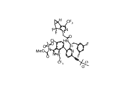 COC(=O)N(c1nn(CC(F)(F)F)c2c(-c3ccc(C#CC(C)(C)S(C)(=O)=O)nc3[C@H](Cc3cc(F)cc(F)c3)NC(=O)Cn3nc(C(F)(F)F)c4c3C(F)(F)C3C[C@H]43)ccc(Cl)c12)S(C)(=O)=O